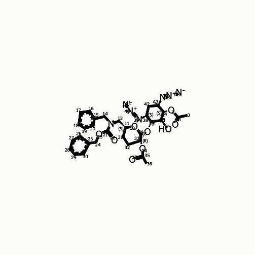 CC(=O)O[C@@H]1[C@@H](O)[C@H](O[C@H]2O[C@H](CN(Cc3ccccc3)C(=O)OCc3ccccc3)CC[C@H]2OC(C)=O)[C@@H](N=[N+]=[N-])C[C@H]1N=[N+]=[N-]